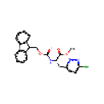 CC(C)(C)OC(=O)[C@H](Cc1ccc(Br)nn1)NC(=O)OCC1c2ccccc2-c2ccccc21